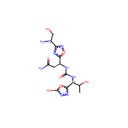 CC(O)[C@H](NC(=O)NC(CC(N)=O)c1nc([C@@H](N)CO)no1)c1nnc(O)o1